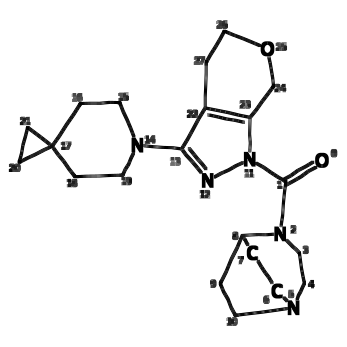 O=C(N1CCN2CCC1CC2)n1nc(N2CCC3(CC2)CC3)c2c1COCC2